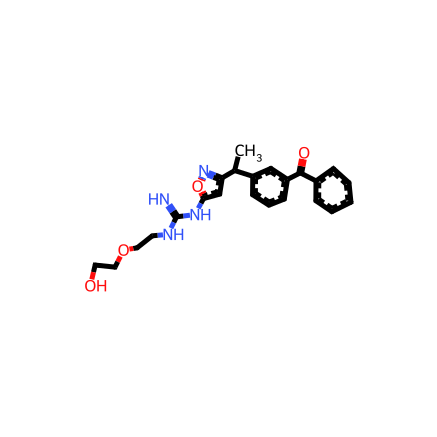 CC(c1cccc(C(=O)c2ccccc2)c1)c1cc(NC(=N)NCCOCCO)on1